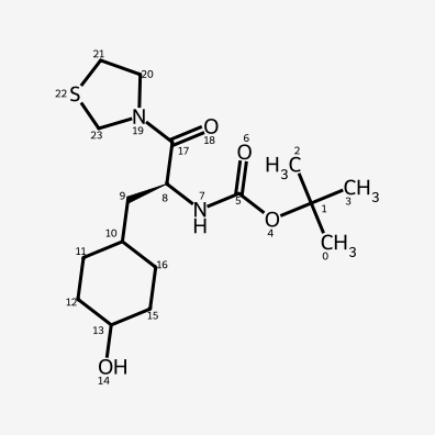 CC(C)(C)OC(=O)N[C@@H](CC1CCC(O)CC1)C(=O)N1CCSC1